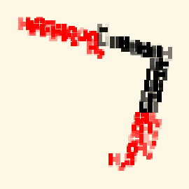 O.O.O.O.O.O.O.O.O.O.O.[LiH].[LiH].[LiH].[LiH].[LiH].[LiH].[LiH].[LiH].[LiH].[LiH].[LiH]